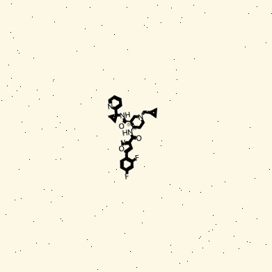 O=C(N[C@H]1CCN(CC2CC2)C[C@@H]1C(=O)NC1(c2ccccn2)CC1)c1cc(-c2ccc(F)cc2F)on1